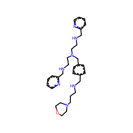 c1ccc(CNCCN(CCNCc2ccccn2)Cc2ccc(CNCCCN3CCOCC3)cc2)nc1